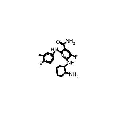 Cc1cc(Nc2nc(NC3CCCCC3N)c(F)cc2C(N)=O)ccc1F